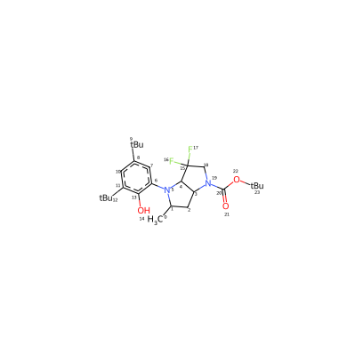 CC1CC2C(N1c1cc(C(C)(C)C)cc(C(C)(C)C)c1O)C(F)(F)CN2C(=O)OC(C)(C)C